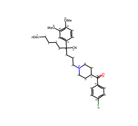 CCCCCCCCCCCCCCC(C#N)(CCCN1CCC(C(=O)c2ccc(F)cc2)CC1)c1ccc(OC)c(OC)c1